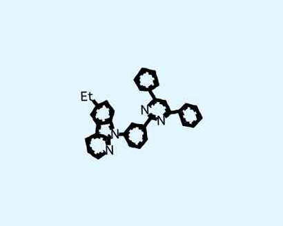 CCc1ccc2c(c1)c1cccnc1n2-c1cccc(-c2nc(-c3ccccc3)cc(-c3ccccc3)n2)c1